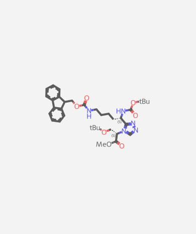 COC(=O)[C@H](COC(C)(C)C)n1cnnc1[C@H](CCCCNC(=O)OCC1c2ccccc2-c2ccccc21)NC(=O)OC(C)(C)C